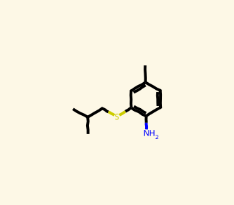 Cc1ccc(N)c(SCC(C)C)c1